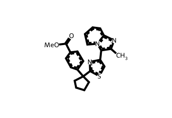 COC(=O)c1ccc(C2(c3nc(-c4c(C)nc5ccccn45)cs3)CCCC2)cc1